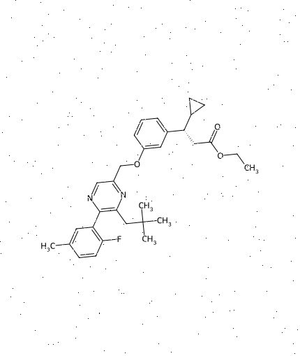 CCOC(=O)C[C@H](c1cccc(OCc2cnc(-c3cc(C)ccc3F)c(CC(C)(C)C)n2)c1)C1CC1